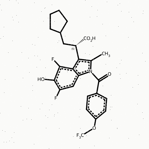 Cc1c([C@H](CC2CCCC2)C(=O)O)c2c(F)c(O)c(F)cc2n1C(=O)c1ccc(OC(F)(F)F)cc1